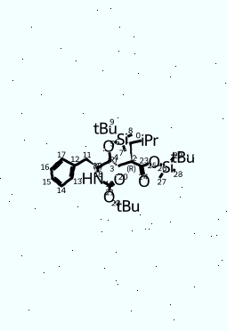 CC(C)C[C@H](C[C@@H](O[Si](C)(C)C(C)(C)C)[C@H](Cc1ccccc1)NC(=O)OC(C)(C)C)C(=O)O[Si](C)(C)C(C)(C)C